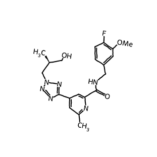 COc1cc(CNC(=O)c2cc(-c3nnn(C[C@@H](C)CO)n3)cc(C)n2)ccc1F